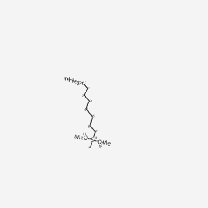 CCCCCCCCCCCCCC[Si](C)(OC)OC